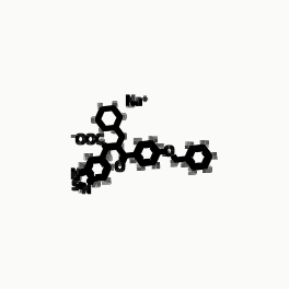 O=C([O-])/C(=C(\CC1CCCCC1)C(=O)c1ccc(OCc2ccccc2)cc1)c1ccc2nsnc2c1.[Na+]